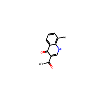 CCCC(=O)c1c[nH]c2c(C(C)=O)cccc2c1=O